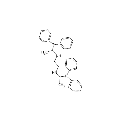 CC(NCCNC(C)P(c1ccccc1)c1ccccc1)P(c1ccccc1)c1ccccc1